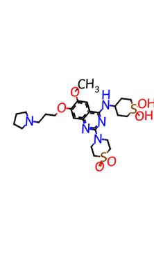 COc1cc2c(NC3CCS(O)(O)CC3)nc(N3CCS(=O)(=O)CC3)nc2cc1OCCCN1CCCC1